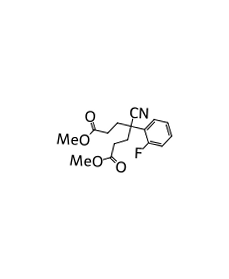 COC(=O)CCC(C#N)(CCC(=O)OC)c1ccccc1F